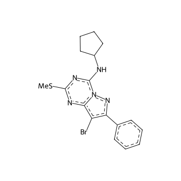 CSc1nc(NC2CCCC2)n2nc(-c3ccccc3)c(Br)c2n1